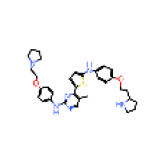 Cc1cnc(Nc2ccc(OCCN3CCCC3)cc2)nc1-c1ccc(Nc2ccc(OCCC3CCCN3)cc2)s1